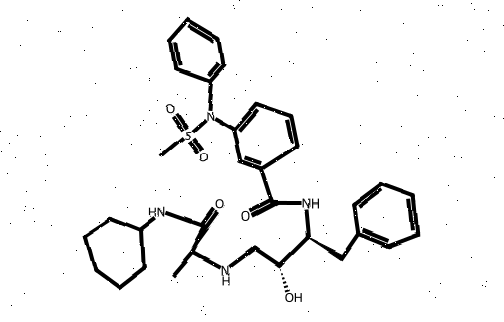 CC(NC[C@@H](O)[C@H](Cc1ccccc1)NC(=O)c1cccc(N(c2ccccc2)S(C)(=O)=O)c1)C(=O)NC1CCCCC1